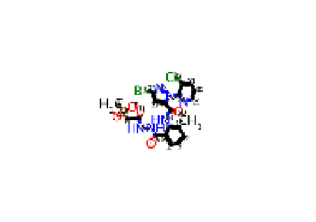 Cc1cccc(C(=O)NNC(=O)CS(C)(=O)=O)c1NC(=O)c1cc(Br)nn1-c1ncccc1Cl